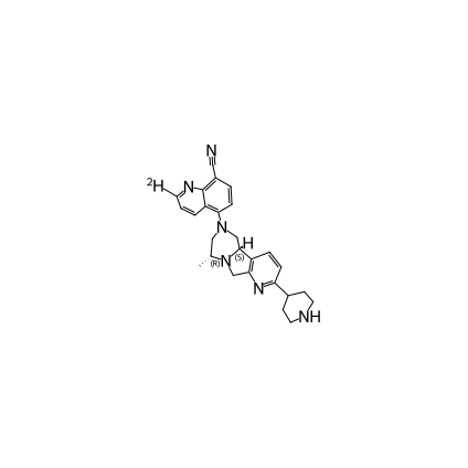 [2H]c1ccc2c(N3C[C@@H](C)N4Cc5nc(C6CCNCC6)ccc5[C@H]4C3)ccc(C#N)c2n1